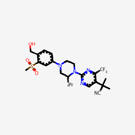 CC(C)C1CN(c2ccc(CO)c(S(C)(=O)=O)c2)CCN1c1ncc(C(C)(C)C#N)c(C(F)(F)F)n1